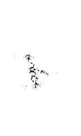 CNS(=O)(=O)Nc1cccc(Cc2c(CNCOCCO)c3ccc(OC(=O)N(C)C)cc3oc2=O)c1F